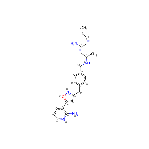 C=C/C=C\C(N)=C/C(C)NCc1ccc(Cc2cc(-c3cccnc3N)on2)cc1